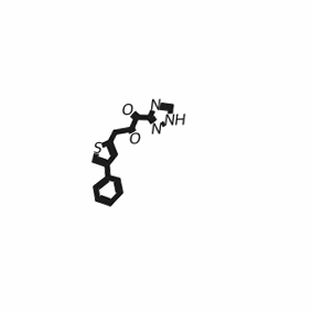 O=C(Cc1cc(-c2ccccc2)cs1)C(=O)c1nc[nH]n1